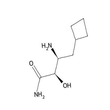 NC(=O)[C@H](O)[C@@H](N)CC1CCC1